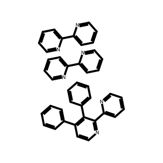 c1ccc(-c2ccccn2)nc1.c1ccc(-c2ccccn2)nc1.c1ccc(-c2ccnc(-c3ccccn3)c2-c2ccccc2)cc1